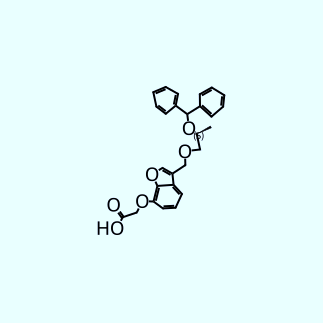 C[C@@H](COCc1coc2c(OCC(=O)O)cccc12)OC(c1ccccc1)c1ccccc1